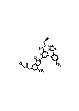 C#CCCNc1cc(-c2cc(C(F)(F)F)ccc2-c2nncn2C)cc(N2Cc3c(cc(CNCC4CC4)cc3C(F)(F)F)C2=O)n1